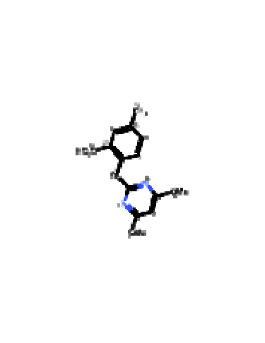 COc1cc(OC)nc([Se]c2ccc(C)cc2C(=O)O)n1